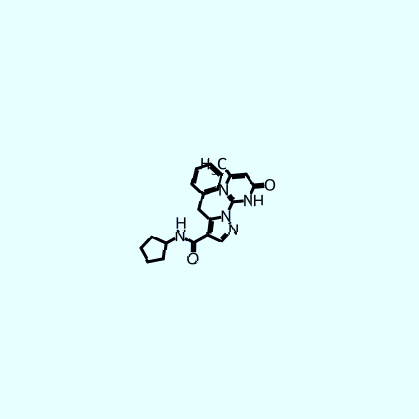 Cc1cc(=O)[nH]c(-n2ncc(C(=O)NC3CCCC3)c2Cc2ccccc2)n1